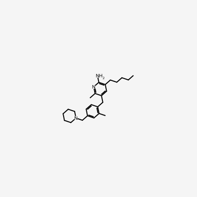 CCCCCc1cc(Cc2ccc(CN3CCCCC3)cc2C)c(C)nc1N